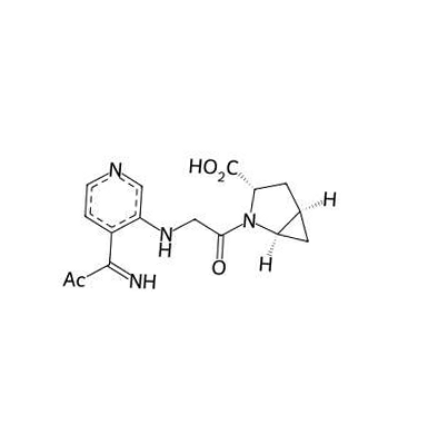 CC(=O)C(=N)c1ccncc1NCC(=O)N1[C@@H]2C[C@@H]2C[C@H]1C(=O)O